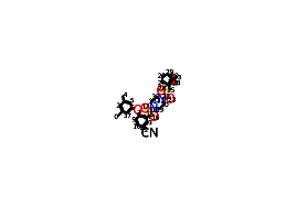 Cc1cc(C)cc(Oc2ccc(C#N)cc2S(=O)(=O)N2CCN(S(=O)(=O)CC34CCC(CC3)C4(C)C)CC2)c1